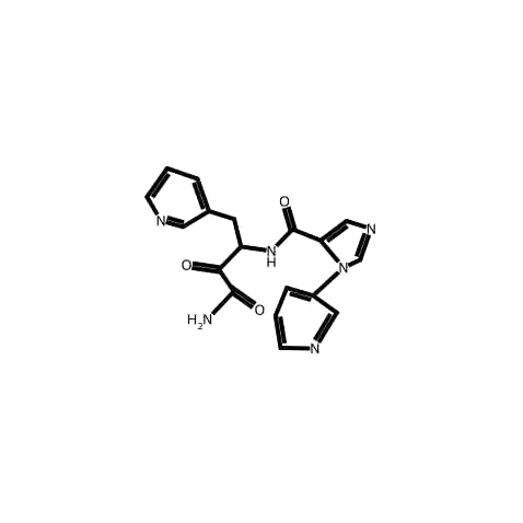 NC(=O)C(=O)C(Cc1cccnc1)NC(=O)c1cncn1-c1cccnc1